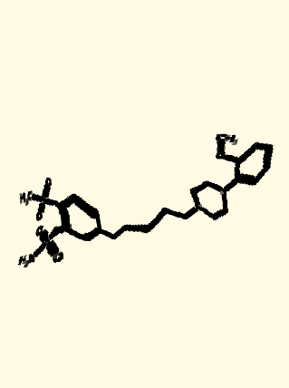 COc1ccccc1N1CCN(CCCCCc2ccc(S(C)(=O)=O)c(S(N)(=O)=O)c2)CC1